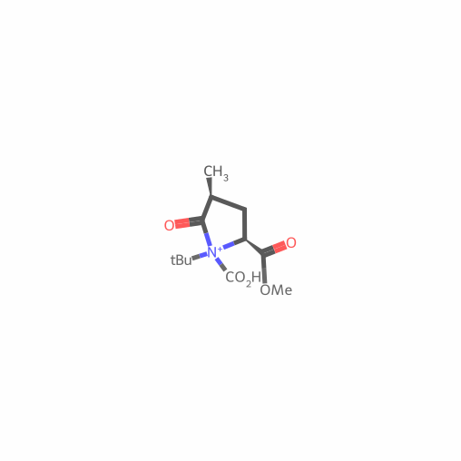 COC(=O)[C@@H]1C[C@H](C)C(=O)[N+]1(C(=O)O)C(C)(C)C